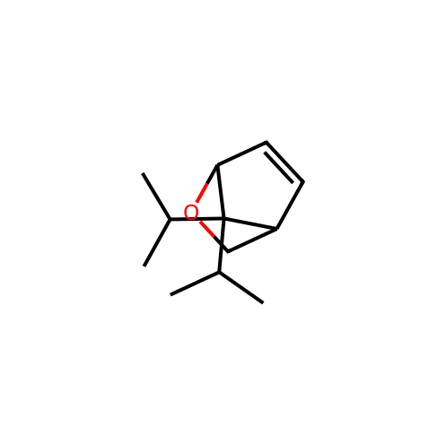 CC(C)C1(C(C)C)C2C=CC1OC2